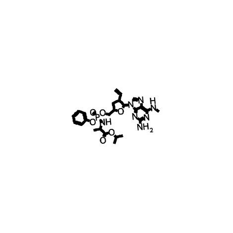 C=CC1CC(COP(=O)(NC(C)C(=O)OC(C)C)Oc2ccccc2)OC1n1cnc2c(NC)nc(N)nc21